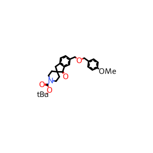 COc1ccc(COCc2ccc3c(c2)C(=O)C2(CCN(C(=O)OC(C)(C)C)CC2)C3)cc1